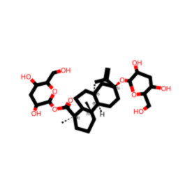 C=C1C[C@@]23CCC4[C@](C)(C(=O)OC5OC(CO)C(O)CC5O)CCC[C@@]4(C)[C@@H]2CC[C@]1(OC1OC(CO)C(O)CC1O)C3